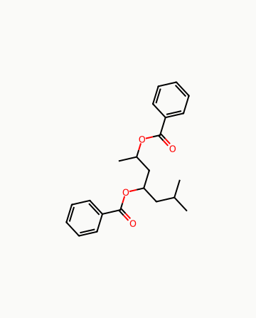 CC(C)CC(CC(C)OC(=O)c1ccccc1)OC(=O)c1ccccc1